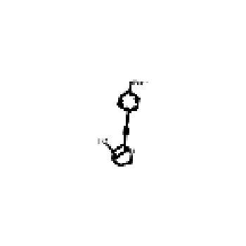 CCCCCc1ccc(C#CC2C(O)C3CCN2CC3)cc1